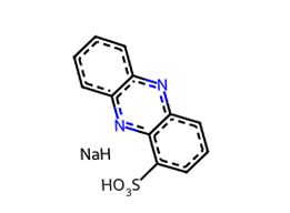 O=S(=O)(O)c1cccc2nc3ccccc3nc12.[NaH]